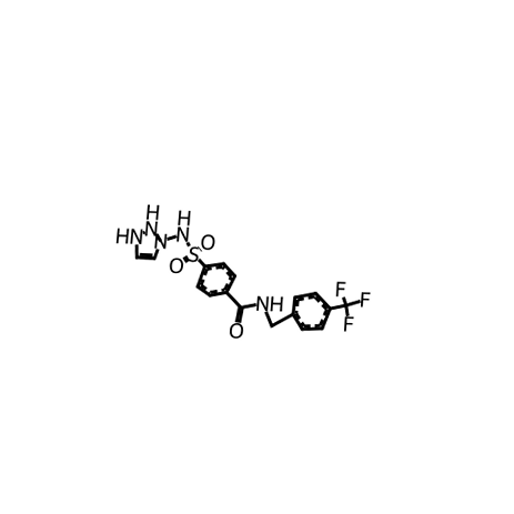 O=C(NCc1ccc(C(F)(F)F)cc1)c1ccc(S(=O)(=O)NN2C=CNN2)cc1